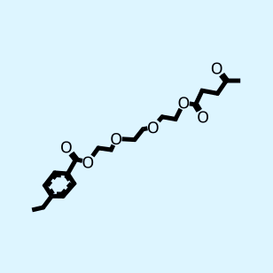 CCc1ccc(C(=O)OCCOCCOCCOC(=O)CCC(C)=O)cc1